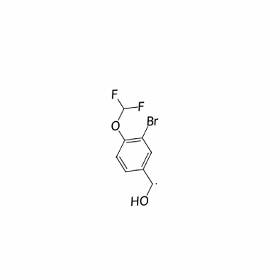 O[CH]c1ccc(OC(F)F)c(Br)c1